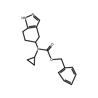 O=C(OCc1ccccc1)N(C1CC1)C1CCc2[nH]ncc2C1